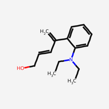 C=C(C=CCO)c1ccccc1N(CC)CC